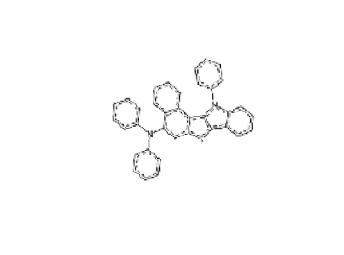 c1ccc(N(c2ccccc2)c2cc3sc4c5ccccc5n(-c5ccccc5)c4c3c3ccccc23)cc1